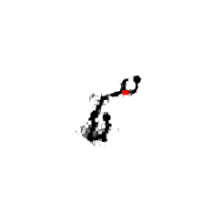 CC[C@H](C)[C@@H]([C@@H](CC(=O)N1CCC[C@H]1[C@H](OC)[C@@H](C)C(=O)N[C@H](C)[C@@H](O)c1ccccc1)OC)N(C)C(=O)CNC(=O)C(C(C)C)N(C)C(=O)OCc1ccc(NC(=O)CNC(=O)C(NC(=O)CSCCC(=O)O[C@H]2CC3C[C@H](C2)OC(=O)CCSC2CCCCC2SCCC(=O)O3)C(C)C)cc1